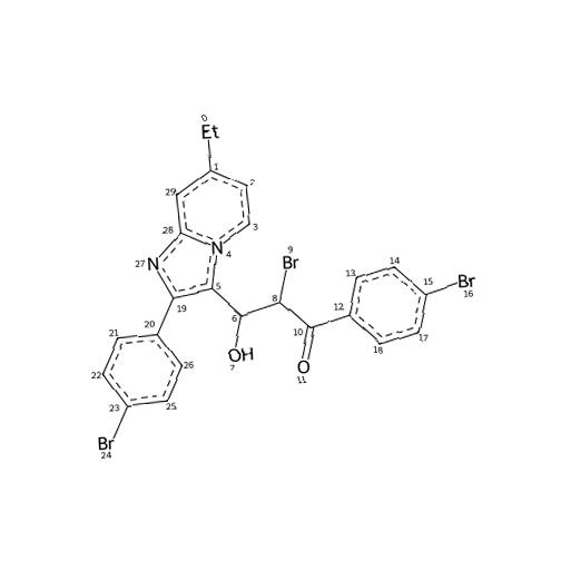 CCc1ccn2c(C(O)C(Br)C(=O)c3ccc(Br)cc3)c(-c3ccc(Br)cc3)nc2c1